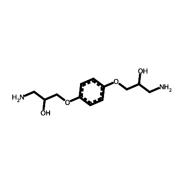 NCC(O)COc1ccc(OCC(O)CN)cc1